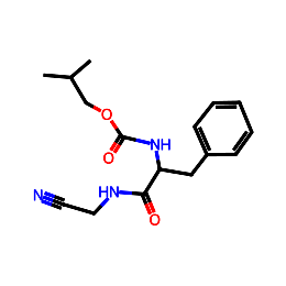 CC(C)COC(=O)NC(Cc1ccccc1)C(=O)NCC#N